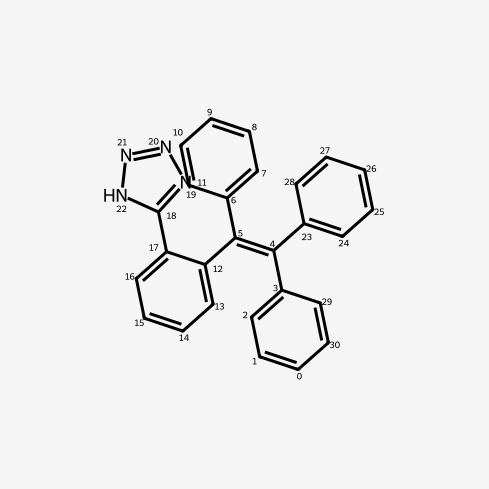 c1ccc(C(=C(c2ccccc2)c2ccccc2-c2nnn[nH]2)c2ccccc2)cc1